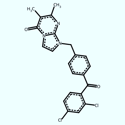 Cc1nc2n(Cc3ccc(C(=O)c4ccc(Cl)cc4Cl)cc3)ccn2c(=O)c1C